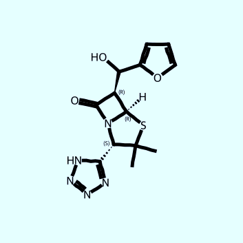 CC1(C)S[C@@H]2[C@H](C(O)c3ccco3)C(=O)N2[C@H]1c1nnn[nH]1